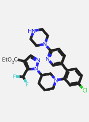 CCOC(=O)c1cnn(C2CCCN(c3cc(Cl)ccc3-c3ccc(N4CCNCC4)nc3)C2)c1C(F)F